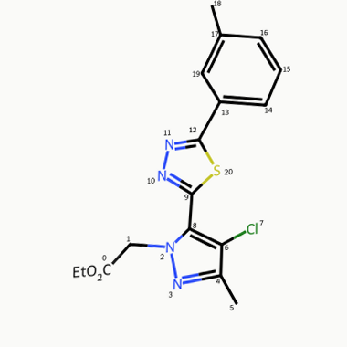 CCOC(=O)Cn1nc(C)c(Cl)c1-c1nnc(-c2cccc(C)c2)s1